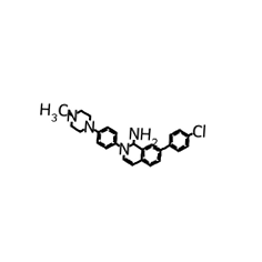 CN1CCN(c2ccc(N3C=Cc4ccc(-c5ccc(Cl)cc5)cc4C3N)cc2)CC1